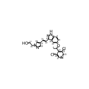 CC(Oc1ccc2[nH]nc(/C=C/c3cnn(CCO)c3)c2c1)c1c(Cl)cncc1Cl